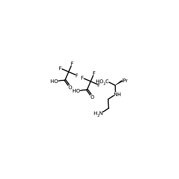 CC(C)[C@@H](NCCN)C(=O)O.O=C(O)C(F)(F)F.O=C(O)C(F)(F)F